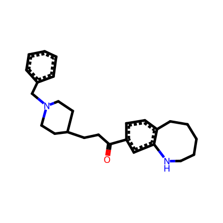 O=C(CCC1CCN(Cc2ccccc2)CC1)c1ccc2c(c1)NCCCCC2